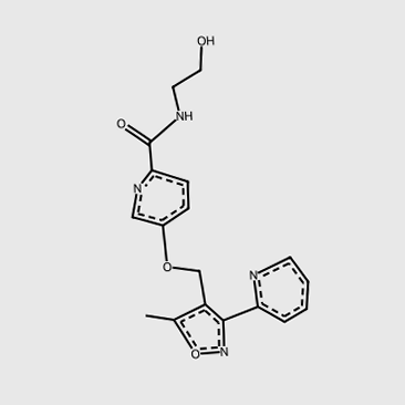 Cc1onc(-c2ccccn2)c1COc1ccc(C(=O)NCCO)nc1